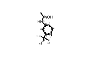 CC(O)Nc1ccnc(C(F)(F)F)c1